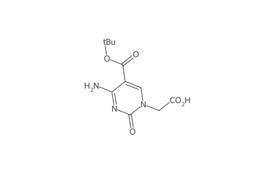 CC(C)(C)OC(=O)c1cn(CC(=O)O)c(=O)nc1N